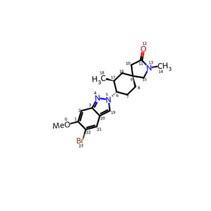 COc1cc2nn([C@H]3CC[C@]4(CC(=O)N(C)C4)C[C@@H]3C)cc2cc1Br